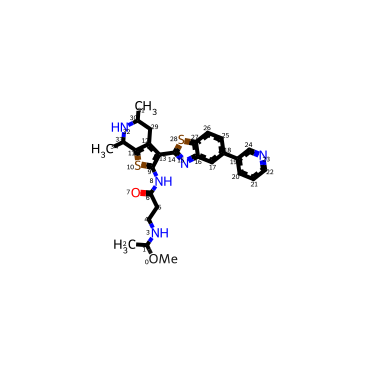 COC(C)NCCC(=O)Nc1sc2c(c1-c1nc3cc(-c4cccnc4)ccc3s1)CC(C)NC2C